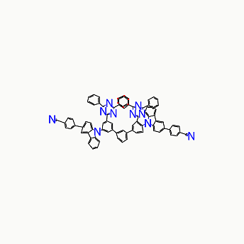 N#Cc1ccc(-c2ccc3c(c2)c2ccccc2n3-c2cc(-c3cccc(-c4ccc(-n5c6ccccc6c6cc(-c7ccc(C#N)cc7)ccc65)c(-c5nc(-c6ccccc6)nc(-c6ccccc6)n5)c4)c3)cc(-c3nc(-c4ccccc4)nc(-c4ccccc4)n3)c2)cc1